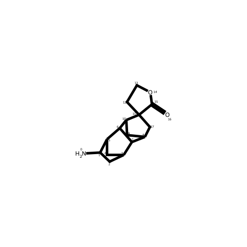 NC1CC2CC1C1C2C2CC1C1(CCOC1=O)C2